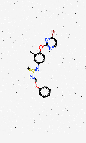 C#S(N=COc1ccccc1)=Nc1ccc(Oc2nccc(Br)n2)c(C)c1